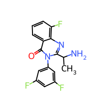 CC(N)c1nc2c(F)cccc2c(=O)n1-c1cc(F)cc(F)c1